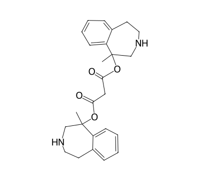 CC1(OC(=O)CC(=O)OC2(C)CNCCc3ccccc32)CNCCc2ccccc21